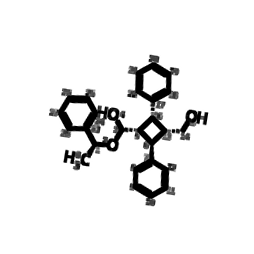 C[C@H](OC(O)[C@H]1[C@H](c2ccccc2)[C@@H](CO)[C@H]1c1ccccc1)c1ccccc1